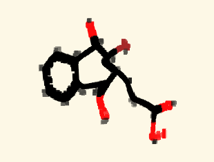 O=C(O)CCC1=C(Br)C(=O)c2ccccc2C1=O